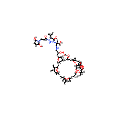 C=C1C2C[C@@H]3O[C@H](C[C@H](O)CNCC(C)(C=O)NC(=O)[C@@H](NC(=O)CCN4C(=O)C=CC4=O)C(C)C)[C@H](OC)[C@H]3CC(=O)C[C@H]3CC[C@@H]4OC5[C@@H]6CC[C@](CC[C@H]7CC(=C)[C@H](CC[C@@H](C[C@H]1C)O2)O7)(O[C@@H]([C@H]4O3)[C@@H]5O)O6